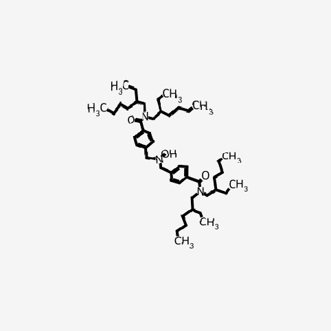 CCCCC(CC)CN(CC(CC)CCCC)C(=O)c1ccc(CN(O)Cc2ccc(C(=O)N(CC(CC)CCCC)CC(CC)CCCC)cc2)cc1